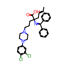 C/C=C/CC(CCCN1CCN(c2ccc(Cl)c(Cl)c2)CC1)(N=C(c1ccccc1)c1ccccc1)C(=O)O